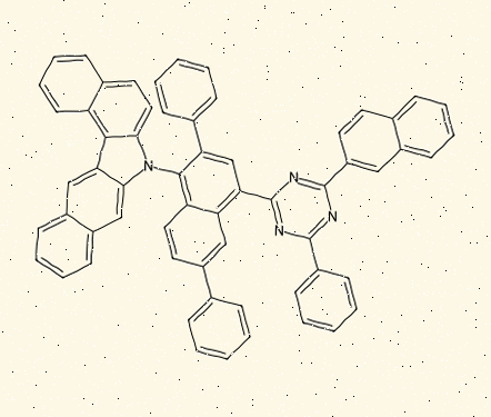 c1ccc(-c2ccc3c(-n4c5cc6ccccc6cc5c5c6ccccc6ccc54)c(-c4ccccc4)cc(-c4nc(-c5ccccc5)nc(-c5ccc6ccccc6c5)n4)c3c2)cc1